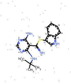 CC(C)(C)Nc1ncnc(N)c1C(=N)Sc1c[nH]c2ccccc12